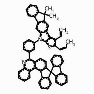 C=Cc1c(/C=C\C)sc2c1c1cc3c(cc1n2-c1cccc(-c2nc4ccccc4c4c5c(ccc24)C2(c4ccccc4-c4ccccc42)c2ccccc2-5)c1)-c1ccccc1C3(C)C